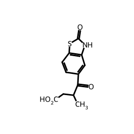 CC(CC(=O)O)C(=O)c1ccc2sc(=O)[nH]c2c1